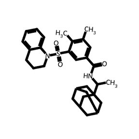 Cc1cc(C(=O)NC(C)C23CC4CC(CC(C4)C2)C3)cc(S(=O)(=O)N2CCCc3ccccc32)c1C